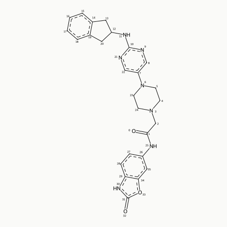 O=C(CN1CCN(c2cnc(NC3Cc4ccccc4C3)nc2)CC1)Nc1ccc2[nH]c(=O)oc2c1